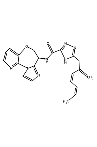 C=C(/C=C\C=C/C)Cc1nnc(C(=O)N[C@@H]2COc3cccnc3-n3ccnc32)[nH]1